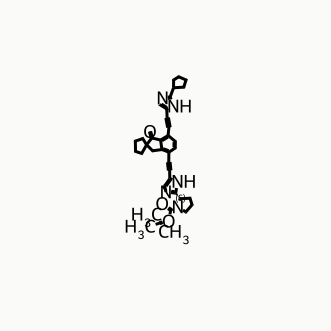 CC(C)(C)OC(=O)N1CCC[C@H]1c1ncc(C#Cc2ccc(C#Cc3cnc(C4CCCC4)[nH]3)c3c2CC2(CCCC2)C3=O)[nH]1